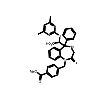 COC(=O)c1ccc(CN2C(=O)CNC(c3ccccc3)(C(Oc3nc(C)cc(C)n3)C(=O)O)c3ccccc32)cc1